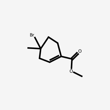 COC(=O)C1=CCC(C)(Br)CC1